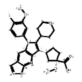 COc1cc(-n2c(C3CCOCC3)c([C@@H]3CC[C@@](OC)(C(=O)O)C3)c3nc4[nH]ncc4cc32)ccc1F